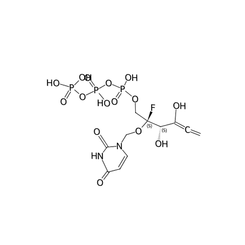 C=C=C(O)[C@H](O)[C@@](F)(COP(=O)(O)OP(=O)(O)OP(=O)(O)O)OCn1ccc(=O)[nH]c1=O